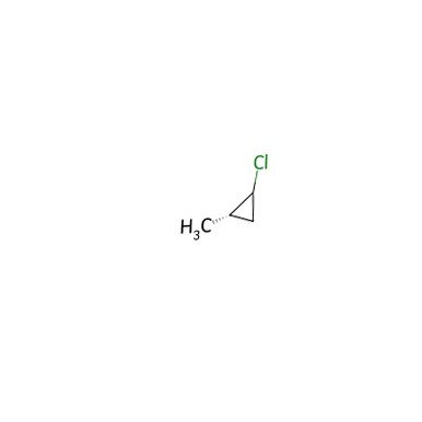 C[C@H]1CC1Cl